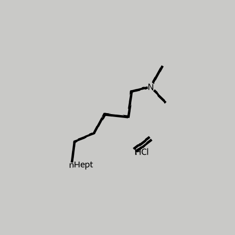 C=C.CCCCCCCCCCCCN(C)C.Cl